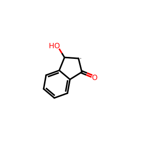 O=C1[CH]C(O)c2ccccc21